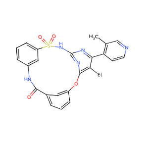 CCc1c2nc(nc1-c1ccncc1C)NS(=O)(=O)c1cccc(c1)NC(=O)c1cccc(c1)O2